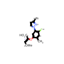 CO/C=C(\Oc1cc(-n2ccc(C(C)C)n2)c(F)cc1C)C(=O)O